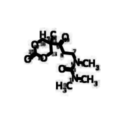 CN(C)C(=O)N(C)CCC(=O)C1(C)COC(=O)OC1